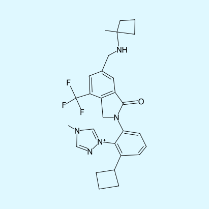 Cn1cn[n+](-c2c(C3CCC3)cccc2N2Cc3c(cc(CNC4(C)CCC4)cc3C(F)(F)F)C2=O)c1